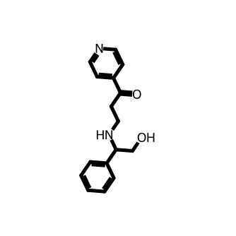 O=C(CCNC(CO)c1ccccc1)c1ccncc1